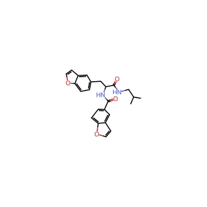 CC(C)CNC(=O)C(Cc1ccc2occc2c1)NC(=O)c1ccc2occc2c1